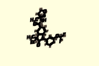 CC[C@]1(C)C(=O)N(c2cccc(OC(F)F)c2)c2ccc(C(=O)NC3(C)CCOS3)cc21